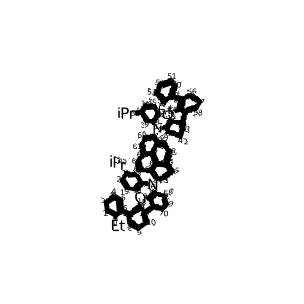 CCc1ccccc1-c1cccc2c1oc1c(N(c3cccc(C(C)C)c3)c3ccc4ccc5c(N(c6cccc(C(C)C)c6)c6cccc7c6oc6c(-c8ccccc8CC)cccc67)ccc6ccc3c4c65)cccc12